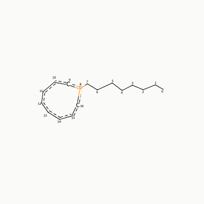 CCCCCCCCp1cccccccc1